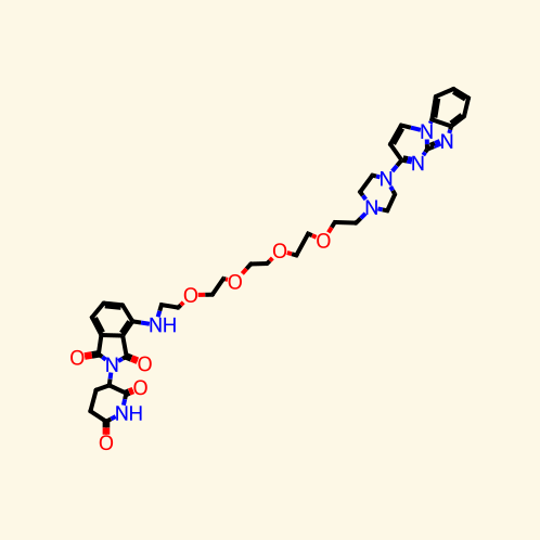 O=C1CCC(N2C(=O)c3cccc(NCCOCCOCCOCCOCCN4CCN(c5ccn6c(n5)nc5ccccc56)CC4)c3C2=O)C(=O)N1